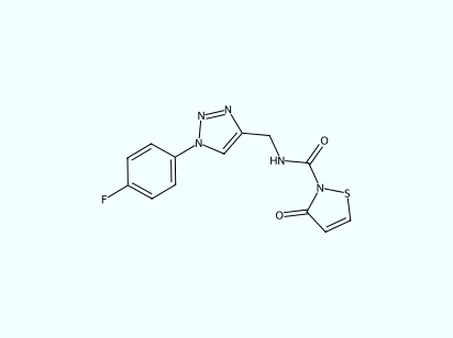 O=C(NCc1cn(-c2ccc(F)cc2)nn1)n1sccc1=O